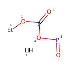 CCOC(=O)OP=O.[LiH]